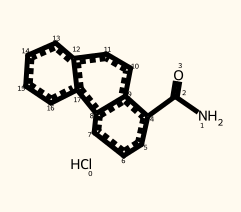 Cl.NC(=O)c1cccc2c1ccc1ccccc12